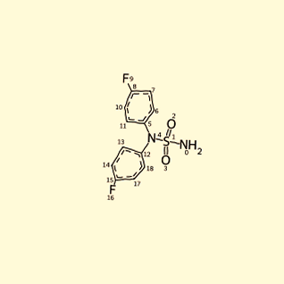 NS(=O)(=O)N(c1ccc(F)cc1)c1ccc(F)cc1